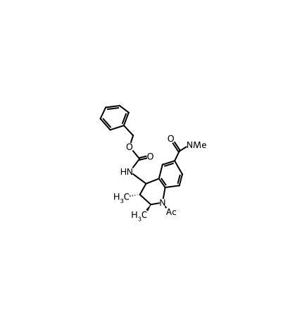 CNC(=O)c1ccc2c(c1)C(NC(=O)OCc1ccccc1)[C@@H](C)[C@H](C)N2C(C)=O